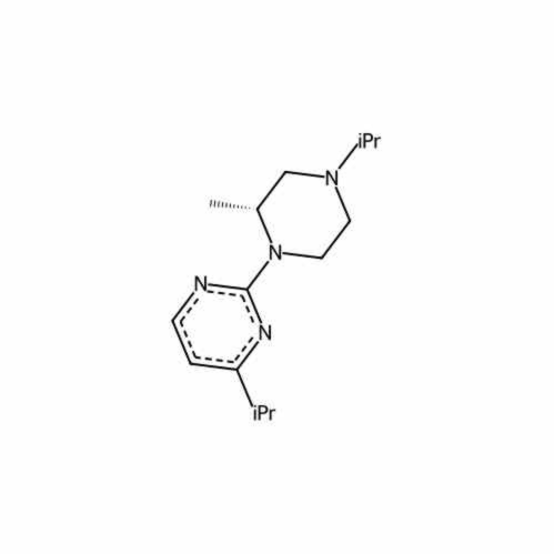 CC(C)c1ccnc(N2CCN(C(C)C)C[C@H]2C)n1